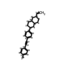 C=CC1CCC2CC(c3ccc(C#Cc4ccc(F)cc4)cc3)CCC2C1